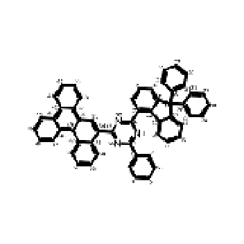 c1ccc(-c2nc(-c3cccc4c3-c3ccccc3C4(c3ccccc3)c3ccccc3)nc(-c3cc4c5ccccc5c5ccccc5c4c4ccccc34)n2)cc1